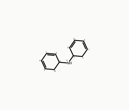 C1=CCC(NC2C=CC=CC2)C=C1